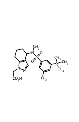 CN(C1CCCc2c1cnn2CC(=O)O)S(=O)(=O)c1cc(C(F)(F)F)cc([Si](C)(C)C)c1